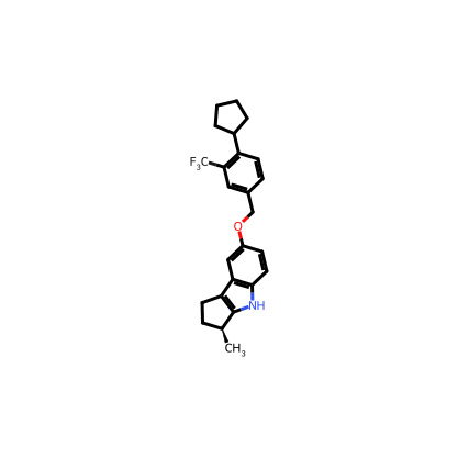 C[C@H]1CCc2c1[nH]c1ccc(OCc3ccc(C4CCCC4)c(C(F)(F)F)c3)cc21